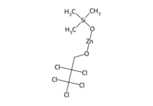 C[Si](C)(C)[O][Zn][O]CC(Cl)(Cl)C(Cl)(Cl)Cl